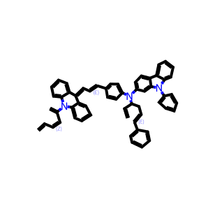 C=C/C=C\C(=C)N1c2ccccc2C(=C/C=C/c2ccc(N(c3ccc4c5ccccc5n(-c5ccccc5)c4c3)C(C=C)C/C=C/c3ccccc3)cc2)c2ccccc21